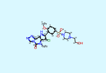 CCCOc1ccc(S(=O)(=O)N2CCN(CCO)CC2)cc1-c1[nH]c2c(c1Cl)n(CCC)c(=O)n1cnnc21